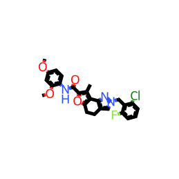 COc1ccc(NC(=O)c2oc3c(c2C)-c2nn(Cc4c(F)cccc4Cl)cc2CC3)c(OC)c1